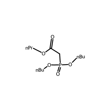 CCCCOP(=O)(CC(=O)OCCC)OCCCC